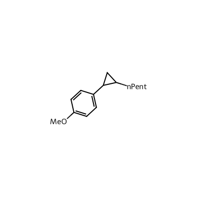 CCCCCC1CC1c1ccc(OC)cc1